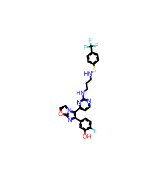 Oc1cc(-c2nc3occn3c2-c2ccnc(NCCCNSc3ccc(C(F)(F)F)cc3)n2)ccc1F